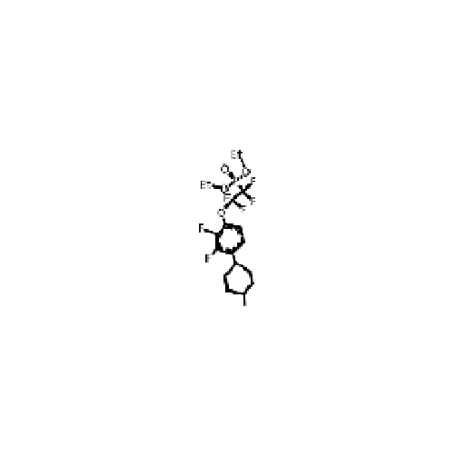 CCOP(=O)(OCC)C(F)(F)C(F)(F)Oc1ccc(C2CCC(C)CC2)c(F)c1F